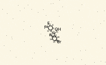 OCc1c(-c2ccc(F)c(F)c2)nc2ccc(Br)cn12